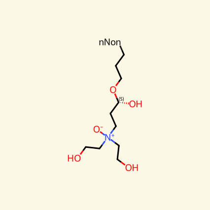 CCCCCCCCCCCCO[C@H](O)CC[N+]([O-])(CCO)CCO